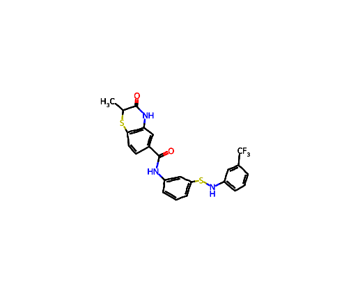 CC1Sc2ccc(C(=O)Nc3cccc(SNc4cccc(C(F)(F)F)c4)c3)cc2NC1=O